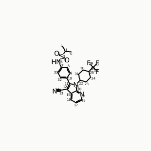 CC(C)S(=O)(=O)Nc1ccc(-c2c(C#N)c3cccnc3n2C2CCC(C(F)(F)F)CC2)cc1